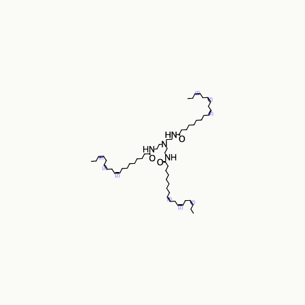 CC/C=C\C/C=C\C/C=C\CCCCCCCC(=O)NCCN(CCNC(=O)CCCCCCC/C=C\C/C=C\C/C=C\CC)CCNC(=O)CCCCCCC/C=C\C/C=C\C/C=C\CC